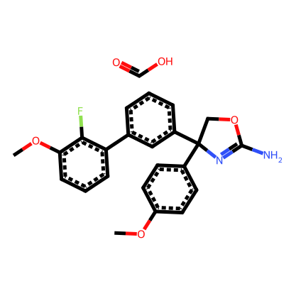 COc1ccc(C2(c3cccc(-c4cccc(OC)c4F)c3)COC(N)=N2)cc1.O=CO